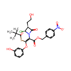 CC(C)(C)C(=O)SC(Oc1cccc(O)c1)=C(C(=O)OCc1ccc([N+](=O)[O-])cc1)N1C(=O)[C@H](CCO)[C@@H]1Cl